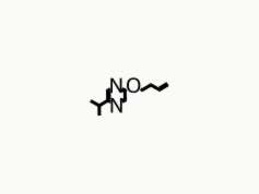 C=CCCOc1cnc(C(C)C)cn1